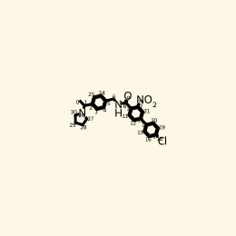 CC(c1ccc(CNC(=O)c2ccc(-c3ccc(Cl)cc3)cc2[N+](=O)[O-])cc1)N1CCCC1